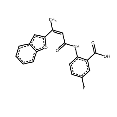 C/C(=C/C(=O)Nc1ccc(F)cc1C(=O)O)c1cc2ccccc2o1